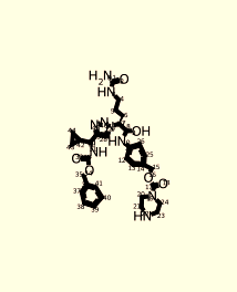 NC(=O)NCCC[C@@H](C(O)Nc1ccc(COC(=O)N2CCNCC2)cc1)n1cc([C@@H](NC(=O)OCc2ccccc2)C2CC2)nn1